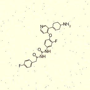 NC1CC=C(c2cnccc2Oc2ccc(NC(=O)NC(=O)Cc3ccc(F)cc3)cc2F)CC1